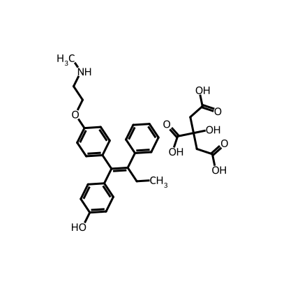 CC/C(=C(\c1ccc(O)cc1)c1ccc(OCCNC)cc1)c1ccccc1.O=C(O)CC(O)(CC(=O)O)C(=O)O